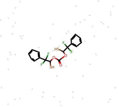 O=C(OC(S)C(F)(F)c1ccccc1)OC(S)C(F)(F)c1ccccc1